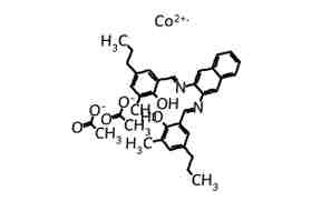 CC(=O)[O-].CC(=O)[O-].CCCc1cc(C)c(O)c(C=Nc2cc3ccccc3cc2N=Cc2cc(CCC)cc(C)c2O)c1.[Co+2]